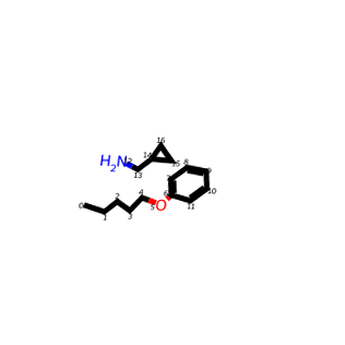 CCCCCOc1ccccc1.NCC1CC1